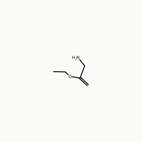 C=C(CN)OCC